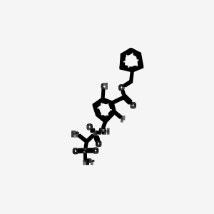 CCCS(=O)(=O)C(CC)S(=O)(=O)Nc1ccc(Cl)c(C(=O)OCc2ccccc2)c1F